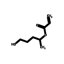 C=CC(=O)OC(C)CCCO